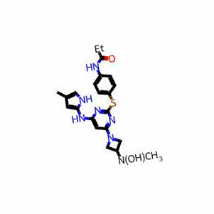 CCC(=O)Nc1ccc(Sc2nc(Nc3cc(C)c[nH]3)cc(N3CC(N(C)O)C3)n2)cc1